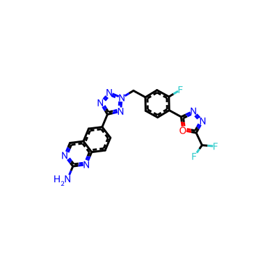 Nc1ncc2cc(-c3nnn(Cc4ccc(-c5nnc(C(F)F)o5)c(F)c4)n3)ccc2n1